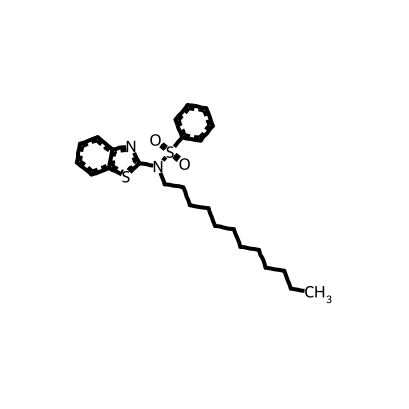 CCCCCCCCCCCCN(c1nc2ccccc2s1)S(=O)(=O)c1ccccc1